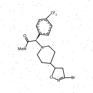 CNC(=O)[C@@H](c1ccc(C(F)(F)F)cc1)N1CCC(C2CC(Br)=NO2)CC1